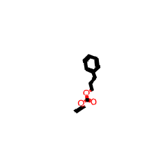 C=COC(=O)OCCCc1ccccc1